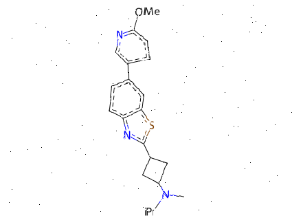 COc1ccc(-c2ccc3nc(C4CC(N(C)C(C)C)C4)sc3c2)cn1